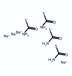 NC(=O)[S-].NC(=O)[S-].NC(=O)[S-].NC(=O)[S-].[Na+].[Na+].[Na+].[Na+]